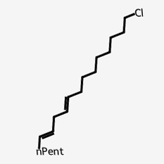 CCCCCC=CCC=CCCCCCCCCCl